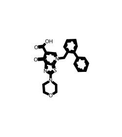 O=C(O)c1cn(Cc2ccccc2-c2ccccc2)c2sc(N3CCOCC3)nc2c1=O